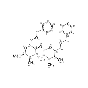 CO[C@H]1OC(COCc2ccccc2)[C@@H](O[C@H]2CC(C)[C@H](C)C(COCc3ccccc3)O2)[C@H](C)C1C